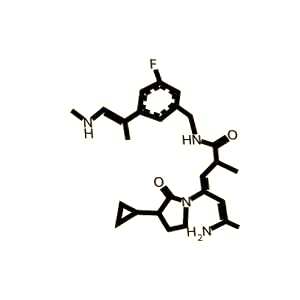 CN/C=C(\C)c1cc(F)cc(CNC(=O)C(C)/C=C(\C=C(\C)N)N2CCC(C3CC3)C2=O)c1